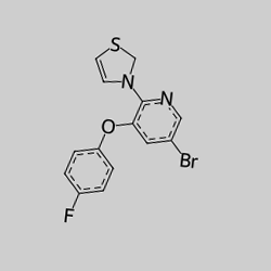 Fc1ccc(Oc2cc(Br)cnc2N2C=CSC2)cc1